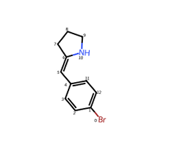 Brc1ccc(C=C2CCCN2)cc1